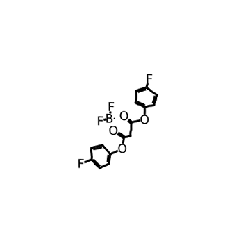 F[B]F.O=C(CC(=O)Oc1ccc(F)cc1)Oc1ccc(F)cc1